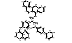 NC(NC(NCc1c2ccccc2cc2c1ccc1ccccc12)c1ccc2c(c1)-c1cccc3cccc(c13)O2)c1ccc(-c2ccccc2)cc1